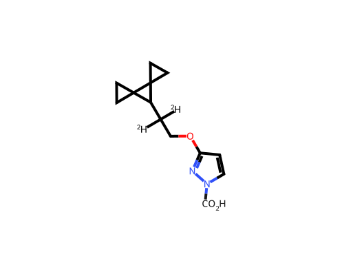 [2H]C([2H])(COc1ccn(C(=O)O)n1)C1C2(CC2)C12CC2